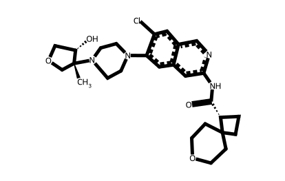 C[C@@]1(N2CCN(c3cc4cc(NC(=O)[C@@H]5CCC56CCOCC6)ncc4cc3Cl)CC2)COC[C@@H]1O